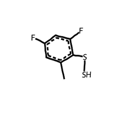 Cc1cc(F)cc(F)c1SS